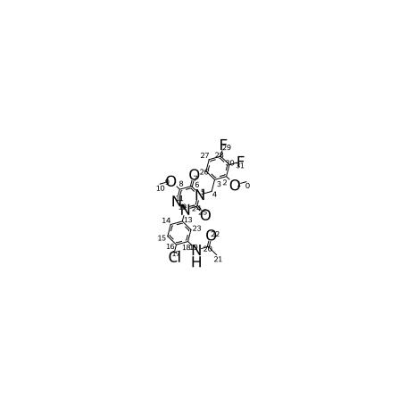 COc1c(Cn2c(=O)c(OC)nn(-c3ccc(Cl)c(NC(C)=O)c3)c2=O)ccc(F)c1F